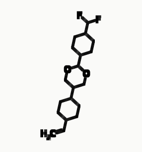 C=CC1CCC(C2COC(C3CCC(C(F)F)CC3)OC2)CC1